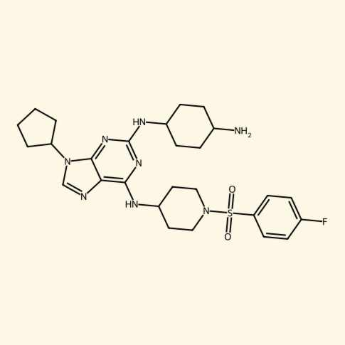 NC1CCC(Nc2nc(NC3CCN(S(=O)(=O)c4ccc(F)cc4)CC3)c3ncn(C4CCCC4)c3n2)CC1